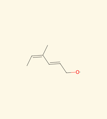 CC=C(C)C=CC[O]